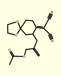 C=C(COC(C)=O)CC1CC2(CCC1=C(C#N)C#N)OCCO2